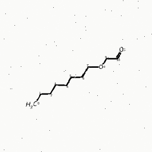 CCCCCCCCOC[C]=O